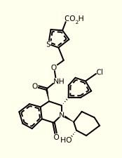 O=C(O)c1csc(CONC(=O)[C@@H]2c3ccccc3C(=O)N([C@H]3CCCC[C@@H]3O)[C@H]2c2ccc(Cl)cc2)c1